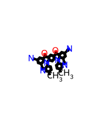 Cc1ccc(-n2c3cc4c(cc3c(=O)c3cc(C#N)cc(C#N)c32)c(=O)c2cc(C#N)cc(C#N)c2n4-c2ccc(C)cc2)cc1